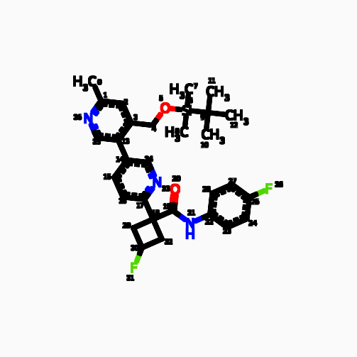 Cc1cc(CO[Si](C)(C)C(C)(C)C)c(-c2ccc(C3(C(=O)Nc4ccc(F)cc4)CC(F)C3)nc2)cn1